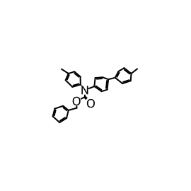 Cc1ccc(-c2ccc(N(C(=O)OCc3ccccc3)c3ccc(C)cc3)cc2)cc1